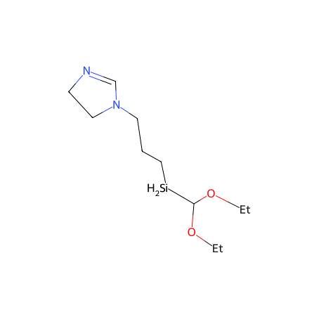 CCOC(OCC)[SiH2]CCCN1C=NCC1